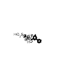 Cc1cc(-c2ccccc2)cc(C(=O)NNS(=O)(=O)C2CN(C(=O)O)C2)c1F